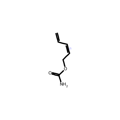 C=C/C=C\COC(N)=O